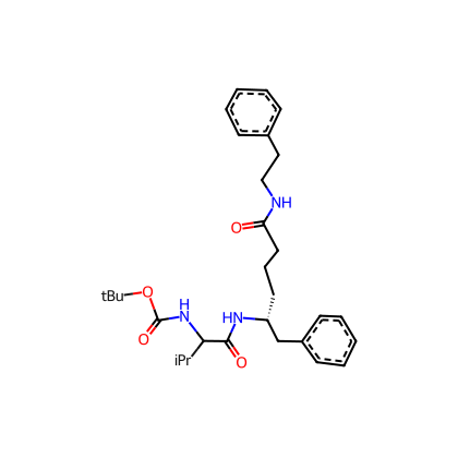 CC(C)C(NC(=O)OC(C)(C)C)C(=O)N[C@H](CCCC(=O)NCCc1ccccc1)Cc1ccccc1